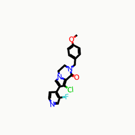 COc1ccc(CN2CCn3cc(-c4ccncc4F)c(Cl)c3C2=O)cc1